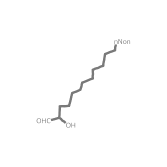 CCCCCCCCCCCCCCCCCCCC(O)C=O